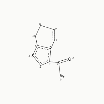 CC(C)C(=O)c1csc2c1C=CCC2